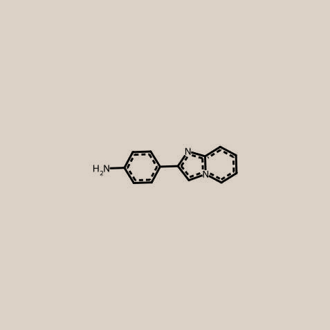 Nc1ccc(-c2cn3ccccc3n2)cc1